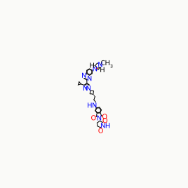 CN1C[C@H]2C[C@@H]1CN2c1ccc2ncc(-c3cn([C@H]4C[C@H](CCCNc5ccc6c(c5)C(=O)N(C5CCC(=O)NC5=O)C6=O)C4)nc3C3CC3)nc2c1